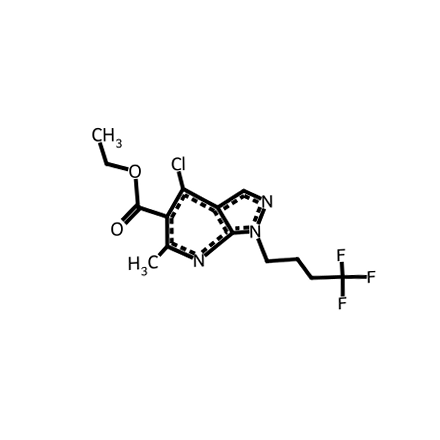 CCOC(=O)c1c(C)nc2c(cnn2CCCC(F)(F)F)c1Cl